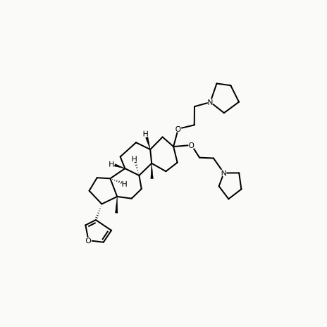 C[C@]12CCC(OCCN3CCCC3)(OCCN3CCCC3)C[C@H]1CC[C@@H]1[C@@H]2CC[C@]2(C)[C@H](c3ccoc3)CC[C@@H]12